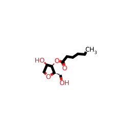 CCCCCC(=O)O[C@H]1[C@H](O)CO[C@H]1CO